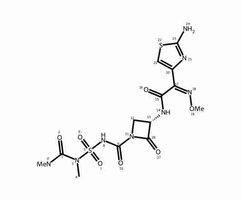 CNC(=O)N(C)S(=O)(=O)NC(=O)N1C[C@H](NC(=O)C(=NOC)c2csc(N)n2)C1=O